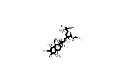 CCCC(C)(C)CC[C@@](C)(CCC(C)(C)[C@]1(C)CC[C@H]2[C@H](C)C(=O)C(C#N)=C[C@]2(C)[C@H]1CC(C)=O)C(=O)NCC(F)(F)F